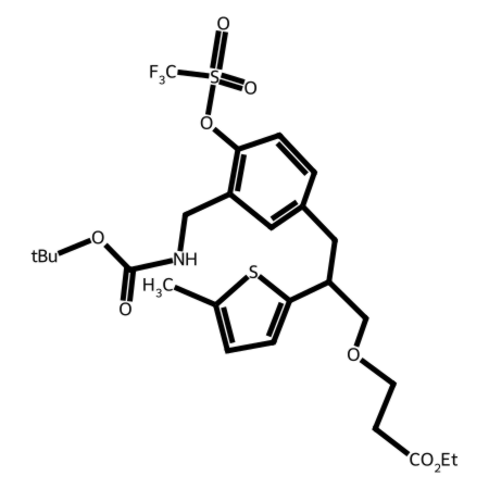 CCOC(=O)CCOCC(Cc1ccc(OS(=O)(=O)C(F)(F)F)c(CNC(=O)OC(C)(C)C)c1)c1ccc(C)s1